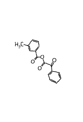 Cc1cccc(C(=O)OC(=O)C(=O)c2ccccc2)c1